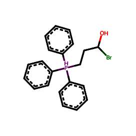 OC(Br)CC[PH](c1ccccc1)(c1ccccc1)c1ccccc1